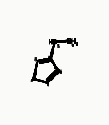 BBC1=CCC=C1